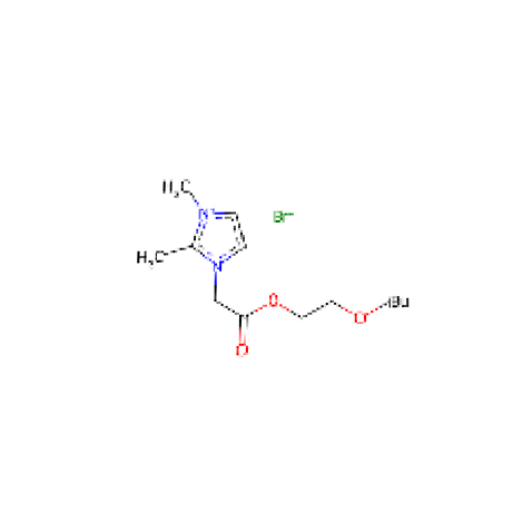 CCC(C)OCCOC(=O)Cn1cc[n+](C)c1C.[Br-]